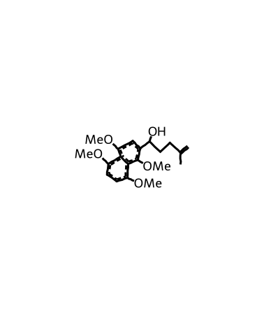 C=C(C)CCC(O)c1cc(OC)c2c(OC)ccc(OC)c2c1OC